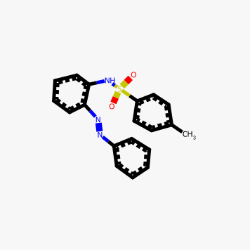 Cc1ccc(S(=O)(=O)Nc2ccccc2N=Nc2ccccc2)cc1